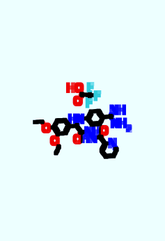 CCOc1ccc(C(Nc2ccc(C(=N)N)cc2)C(=O)NNC(=O)c2ccccn2)cc1OCC.O=C(O)C(F)(F)F